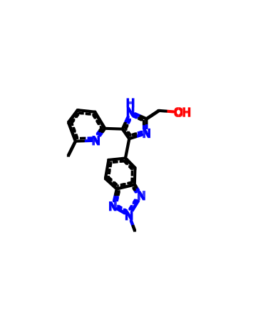 Cc1cccc(-c2[nH]c(CO)nc2-c2ccc3nn(C)nc3c2)n1